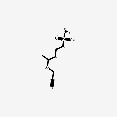 C#CCOC(C)CCCS(N)(=O)=O